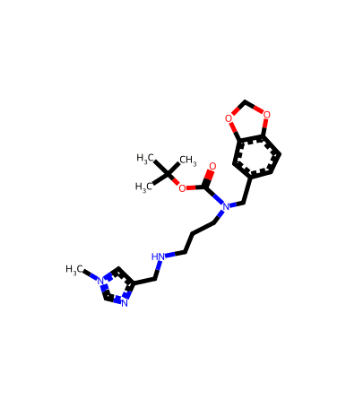 Cn1cnc(CNCCCN(Cc2ccc3c(c2)OCO3)C(=O)OC(C)(C)C)c1